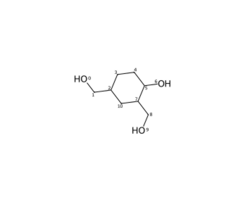 OCC1CCC(O)C(CO)C1